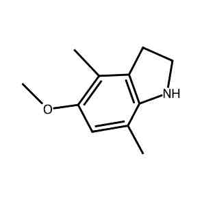 COc1cc(C)c2c(c1C)CCN2